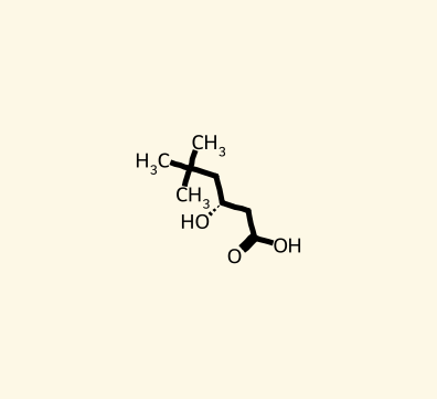 CC(C)(C)C[C@@H](O)CC(=O)O